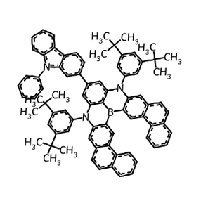 CC(C)(C)c1cc(N2c3cc4ccc5ccccc5c4cc3B3c4cc5c(ccc6ccccc65)cc4N(c4cc(C(C)(C)C)cc(C(C)(C)C)c4)c4cc(-c5ccc6c7ccccc7n(-c7ccccc7)c6c5)cc2c43)cc(C(C)(C)C)c1